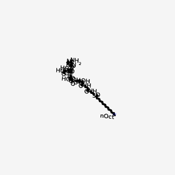 CCCCCCCC/C=C\CCCCCCCCCCCC(=O)SCCNC(=O)CCNC(=O)C(O)C(C)(C)COP(=O)(O)OP(=O)(O)OC[C@H]1O[C@@H](n2cnc3c(N)ncnc32)[C@H](O)[C@@H]1OP(=O)(O)O